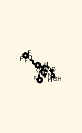 O=C(C1C[C@@H](O)CN1)N1C[C@@H]2CC(c3ccc(CCCOc4c(F)ccc(F)c4F)cc3)=C(C(=O)N(Cc3ccccc3F)C3CC3)[C@H](C1)N2